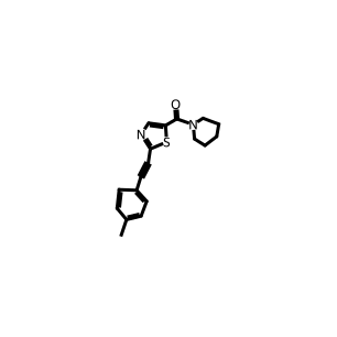 Cc1ccc(C#Cc2ncc(C(=O)N3CCCCC3)s2)cc1